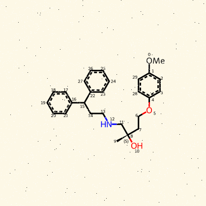 COc1ccc(OCC[C@](C)(O)CNCCC(c2ccccc2)c2ccccc2)cc1